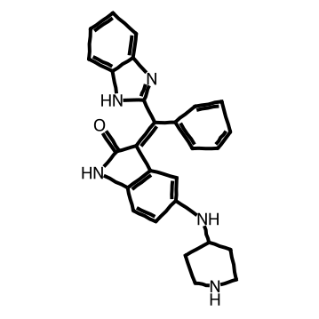 O=C1Nc2ccc(NC3CCNCC3)cc2/C1=C(\c1ccccc1)c1nc2ccccc2[nH]1